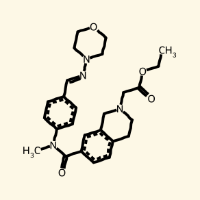 CCOC(=O)CN1CCc2ccc(C(=O)N(C)c3ccc(C=NN4CCOCC4)cc3)cc2C1